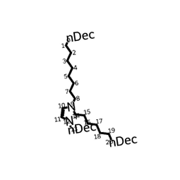 CCCCCCCCCCCCCCCCCCn1cc[n+](CCCCCCCCCC)c1CCCCCCCCCCCCCCC